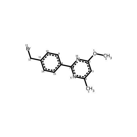 COc1cc(C)nc(-c2ccc(CBr)cc2)n1